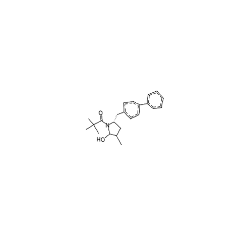 CC1C[C@@H](Cc2ccc(-c3ccccc3)cc2)N(C(=O)C(C)(C)C)C1O